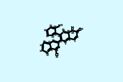 O=c1ccc2nc(-c3cc(Cl)c4ncccc4c3)c(-c3ccccc3F)nc2[nH]1